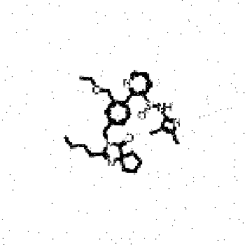 CCCCC1=NC2(CCCC2)C(=O)N1Cc1ccc(-c2ncccc2[S+]([O-])NC2=NC(C)=C2C)c(COCC)c1